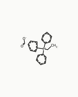 CC[P+](c1ccccc1)(c1ccccc1)c1ccccc1.O=C[O-]